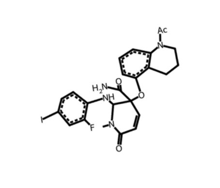 CC(=O)N1CCCc2c(OC3(C(N)=O)C=CC(=O)N(C)C3Nc3ccc(I)cc3F)cccc21